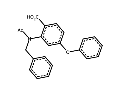 CC(=O)N(Cc1ccccc1)c1cc(Oc2ccccc2)ccc1C(=O)O